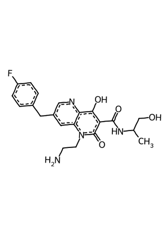 CC(CO)NC(=O)c1c(O)c2ncc(Cc3ccc(F)cc3)cc2n(CCN)c1=O